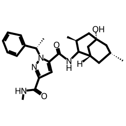 CNC(=O)c1cc(C(=O)NC2[C@H]3C[C@@H](C)C[C@@](O)(C3)C[C@@H]2C)n([C@@H](C)c2ccccc2)n1